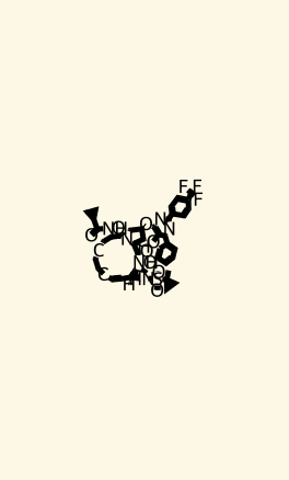 CC1(S(=O)(=O)NC(=O)[C@@]23C[C@H]2/C=C\CCCCC[C@H](NC(=O)C2CC2)C(=O)N2C[C@H](Oc4nc(-c5ccc(C(F)(F)F)cc5)nc5c4oc4ccccc45)C[C@H]2C(=O)N3)CC1